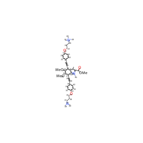 COC(=O)c1cc2c(C#Cc3ccc(OCCC[N+](C)(C)C)cc3)c(OC)c(OC)c(C#Cc3ccc(OCCCN(C)C)cc3)c2n1C